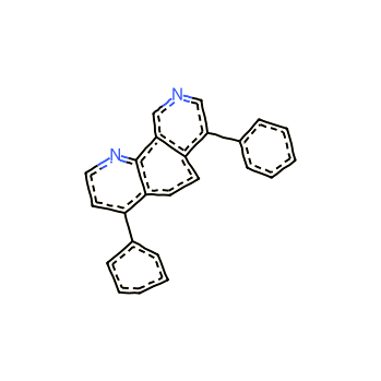 c1ccc(-c2cncc3c2ccc2c(-c4ccccc4)ccnc23)cc1